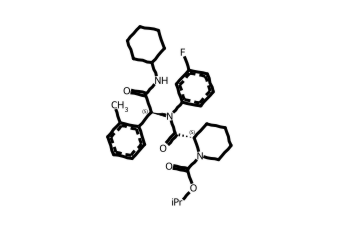 Cc1ccccc1[C@@H](C(=O)NC1CCCCC1)N(C(=O)[C@@H]1CCCCN1C(=O)OC(C)C)c1cccc(F)c1